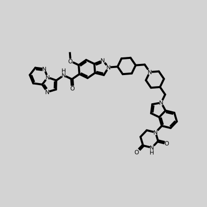 COc1cc2nn(C3CCC(CN4CCC(Cn5ccc6c(N7CCC(=O)NC7=O)cccc65)CC4)CC3)cc2cc1C(=O)Nc1cnc2cccnn12